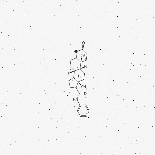 C[C@]12C=CC(=O)NC1CC[C@@H]1[C@H]2CC[C@]2(C)C(C(=O)Nc3ccccc3)CC[C@@H]12